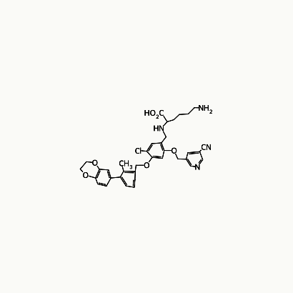 Cc1c(COc2cc(OCc3cncc(C#N)c3)c(CNC(CCCCN)C(=O)O)cc2Cl)cccc1-c1ccc2c(c1)OCCO2